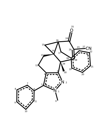 Cn1nc2c(c1-c1ccccc1)CC[C@@]13CC1(Cc1ccccc1)C(=O)C(C#N)=C[C@]23C